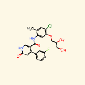 Cc1cc(Cl)c(OC[C@@H](O)CO)cc1NC(=O)C1=CNC(=O)CC1c1cccc(F)c1